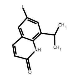 CC(C)c1cc(I)cc2ccc(=O)[nH]c12